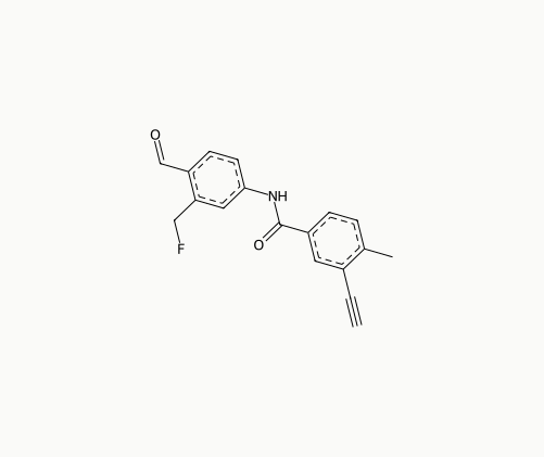 C#Cc1cc(C(=O)Nc2ccc(C=O)c(CF)c2)ccc1C